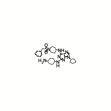 NC1CCC(Nc2nc(NC3CCN(S(=O)(=O)Cc4ccccc4)CC3)c3ncn(C4CCCC4)c3n2)CC1